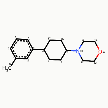 Cc1cc[c]c(C2CCC(N3CCOCC3)CC2)c1